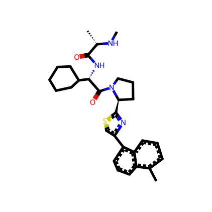 CN[C@@H](C)C(=O)N[C@H](C(=O)N1CCC[C@H]1c1nc(-c2cccc3c(C)cccc23)cs1)C1CCCCC1